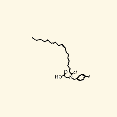 CCCCCCCC/C=C\CCCCCCCC(=O)N(CC(=O)O)Cc1ccc(I)cc1